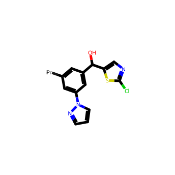 CC(C)c1cc(C(O)c2cnc(Cl)s2)cc(-n2cccn2)c1